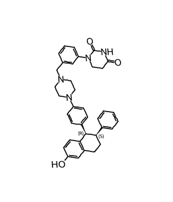 O=C1CCN(c2cccc(CN3CCN(c4ccc([C@@H]5c6ccc(O)cc6CC[C@@H]5c5ccccc5)cc4)CC3)c2)C(=O)N1